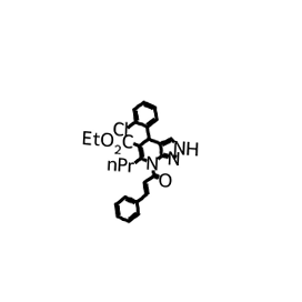 CCCC1=C(C(=O)OCC)C(c2ccccc2Cl)c2c[nH]nc2N1C(=O)C=Cc1ccccc1